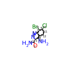 NC(=O)c1nnc2c(Br)c(Cl)ccc2c1N